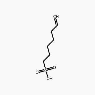 [CH]=CCCCCCS(=O)(=O)O